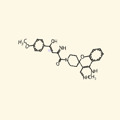 CNC1=C(C=N)C2(CCN(C(=O)C(=N)/C=C(\O)c3ccc(OC)cc3)CC2)Oc2ccccc21